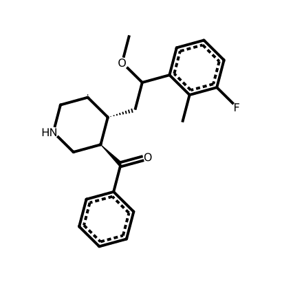 COC(C[C@H]1[CH]CNC[C@@H]1C(=O)c1ccccc1)c1cccc(F)c1C